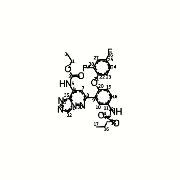 CCOC(=O)Nc1cc(-c2cc(NS(=O)(=O)CC)ccc2Oc2ccc(F)cc2F)nn2cnnc12